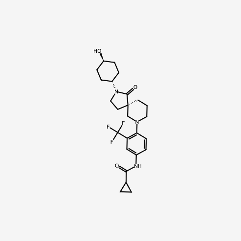 O=C(Nc1ccc(N2CCC[C@@]3(CCN([C@H]4CC[C@H](O)CC4)C3=O)C2)c(C(F)(F)F)c1)C1CC1